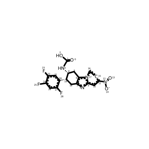 O=C(O)N[C@@H]1Cc2c(nc3cc([N+](=O)[O-])ccn23)C[C@@H]1c1cc(F)c(F)cc1F